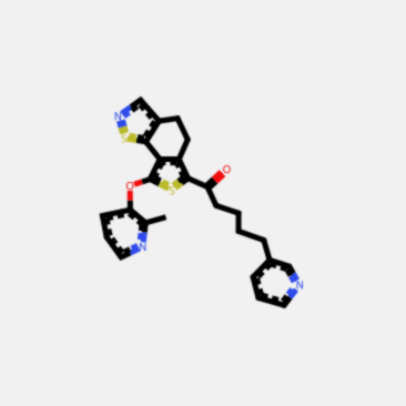 Cc1ncccc1Oc1sc(C(=O)CCCCc2cccnc2)c2c1-c1sncc1CC2